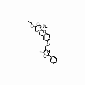 CCOC(=O)CN(Cc1cccc(OCc2nc(-c3ccccc3)oc2C)c1)S(=O)(=O)N(C)C